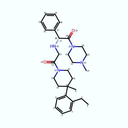 CCc1ccccc1C1(C)CCN(C(=O)CN[C@@H](C(=O)N2CCN(C)CC2)c2ccccc2)CC1